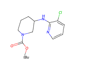 CC(C)(C)OC(=O)N1CCCC(Nc2ncccc2Cl)C1